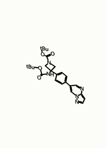 CC(C)(C)OC(=O)NC1(c2ccc(-c3cnc4ccnn4c3)cc2)CN(C(=O)OC(C)(C)C)C1